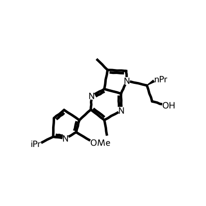 CCC[C@@H](CO)n1cc(C)c2nc(-c3ccc(C(C)C)nc3OC)c(C)nc21